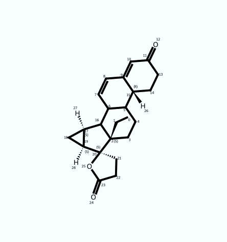 CC[C@]12CCC3C(C=CC4=CC(=O)CC[C@@H]43)C1[C@@H]1C[C@@H]1[C@@]21CCC(=O)O1